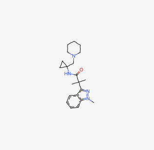 Cn1nc(C(C)(C)C(=O)NC2(CN3CCCCC3)CC2)c2ccccc21